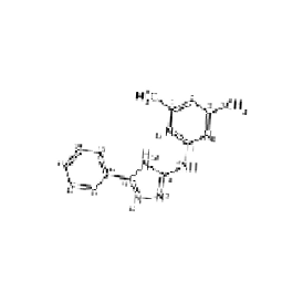 Cc1cc(C)nc(Nc2nnc(-c3ccccc3)[nH]2)n1